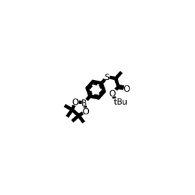 CC(Sc1ccc(B2OC(C)(C)C(C)(C)O2)cc1)C(=O)OC(C)(C)C